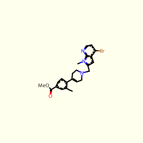 COC(=O)c1ccc(C2=CCN(Cc3cc4c(Br)ccnc4n3C)CC2)c(C)c1